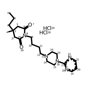 CCCC1(C)CC(=O)N(CCCCN2CCN(c3ncccn3)CC2)C(=O)C1.Cl.Cl